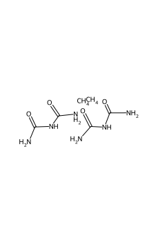 C.C.NC(=O)NC(N)=O.NC(=O)NC(N)=O